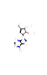 Nc1ncnc2c1ncn2C1C=C(CF)C(O)C1O